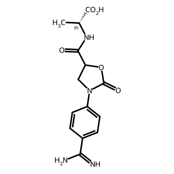 C[C@@H](NC(=O)C1CN(c2ccc(C(=N)N)cc2)C(=O)O1)C(=O)O